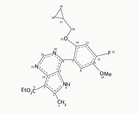 CCOC(=O)c1c(C)[nH]c2c(-c3cc(OC)c(F)cc3OCC3CC3)ncnc12